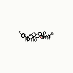 CC12Cc3cnn(-c4ccc(F)cc4)c3C=C1CCC1C2[C@@H](O)CC2(C)C1CCC2(O)C(=O)Cn1cc(Br)cn1